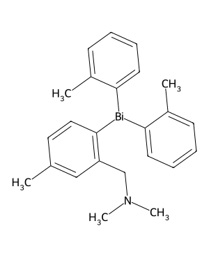 Cc1cc[c]([Bi]([c]2ccccc2C)[c]2ccccc2C)c(CN(C)C)c1